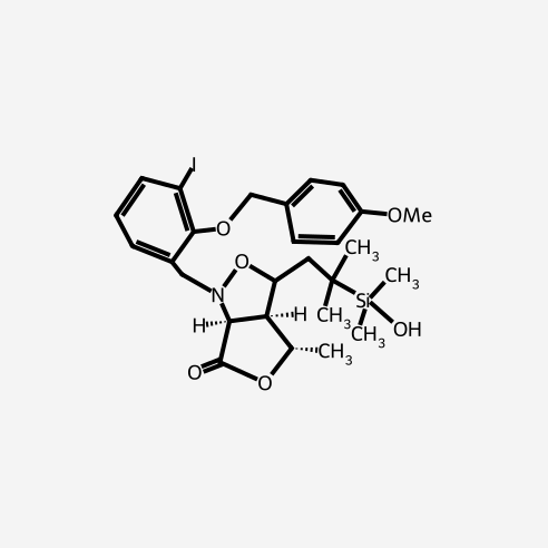 COc1ccc(COc2c(I)cccc2CN2OC(CC(C)(C)[Si](C)(C)O)[C@H]3[C@H](C)OC(=O)[C@H]32)cc1